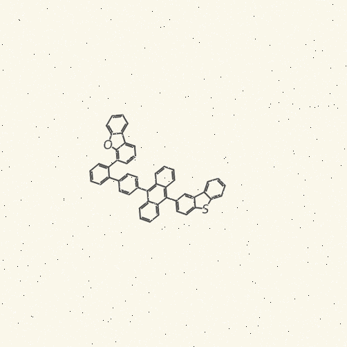 c1ccc(-c2cccc3c2oc2ccccc23)c(-c2ccc(-c3c4ccccc4c(-c4ccc5sc6ccccc6c5c4)c4ccccc34)cc2)c1